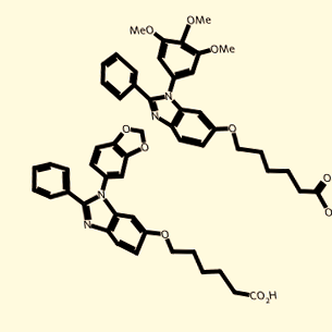 COC(=O)CCCCCOc1ccc2nc(-c3ccccc3)n(-c3cc(OC)c(OC)c(OC)c3)c2c1.O=C(O)CCCCCOc1ccc2nc(-c3ccccc3)n(-c3ccc4c(c3)OCO4)c2c1